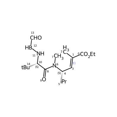 CCOC(=O)/C(C)=C/[C@H](C(C)C)N(C)C(=O)[C@@H](NBC=O)C(C)(C)C